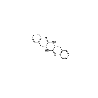 O=C1N[C@H](Cc2ccccc2)C(=O)N[C@@H]1Cc1ccccc1